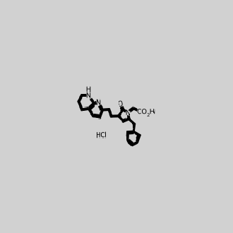 Cl.O=C(O)CN1C(=O)C(CCc2ccc3c(n2)NCCC3)CC1Cc1ccccc1